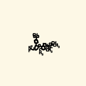 COC(=O)c1ccc([C@@H]2CN(CC(F)(F)F)CC[C@H]2Oc2c(C)cc(C)c3c2ccn3C(=O)OC(C)(C)C)cc1